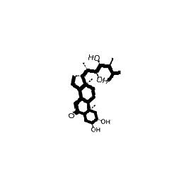 CC(C)[C@H](C)[C@@H](O)[C@H](O)[C@@H](C)[C@H]1CCC2C3CC(=O)C4C[C@@H](O)[C@@H](O)C[C@]4(C)C3CC[C@@]21C